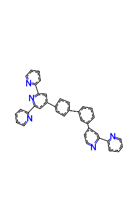 c1ccc(-c2cc(-c3cccc(-c4ccc(-c5cc(-c6ccccn6)nc(-c6ccccn6)c5)cc4)c3)ccn2)nc1